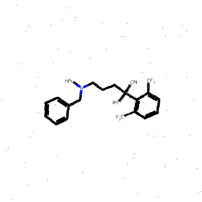 CCCN(CCCC(C#N)(c1c(C(F)(F)F)cccc1C(F)(F)F)C(C)C)Cc1ccccc1